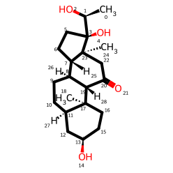 C[C@H](O)[C@@]1(O)CC[C@H]2[C@@H]3CC[C@@H]4C[C@H](O)CC[C@]4(C)[C@H]3C(=O)C[C@@]21C